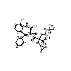 O=C1Nc2c(F)cccc2C(c2ccccc2)=N[C@@H]1NC(=O)C(CCCC(F)(F)F)(CC1CC1)C(=O)O